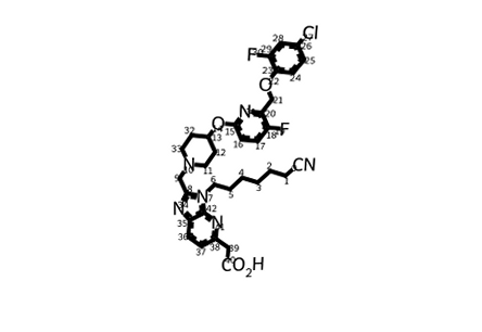 N#CCCCCCCn1c(CN2CCC(Oc3ccc(F)c(COc4ccc(Cl)cc4F)n3)CC2)nc2ccc(CC(=O)O)nc21